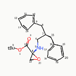 CC(C)(C)OC(=O)[C@@]1(NCC(Cc2ccccc2)Cc2ccccc2)CO1